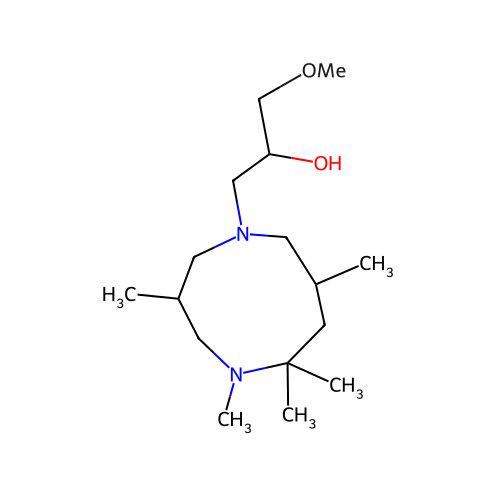 COCC(O)CN1CC(C)CN(C)C(C)(C)CC(C)C1